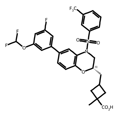 CC1(C(=O)O)CC(C[C@H]2CN(S(=O)(=O)c3cccc(C(F)(F)F)c3)c3cc(-c4cc(F)cc(OC(F)F)c4)ccc3O2)C1